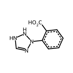 O=C(O)c1ccccc1N1N=CNN1